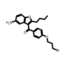 CCCCc1oc2ccc(N)cc2c1C(=O)c1ccc(OCCCBr)cc1